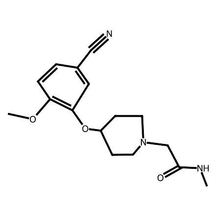 CNC(=O)CN1CCC(Oc2cc(C#N)ccc2OC)CC1